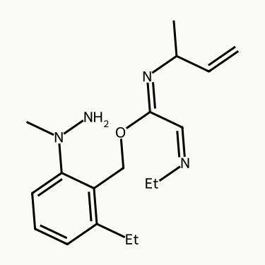 C=CC(C)/N=C(\C=N/CC)OCc1c(CC)cccc1N(C)N